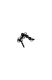 C=CCOc1ccc(-c2ccc(C(=O)Oc3ccccc3C(=O)OCCC(OCCCCCCCC)C(F)(F)F)cc2)cc1